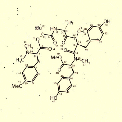 CC[C@@H](C)[C@@H](OC(=O)[C@@H](Cc1ccc(OC)cc1)N(C)C)C(=O)N[C@@H](C(=O)N(C)[C@@H](Cc1ccc(O)cc1)C(=O)N(C)[C@@H](Cc1ccc(O)cc1)C(=O)OC)C(C)C